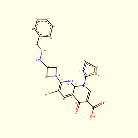 O=C(O)C1=CN(c2nccs2)C2NC(N3CC(NOCc4ccccc4)C3)=C(F)C=C2C1=O